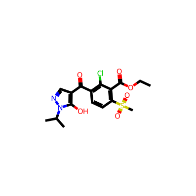 CCOC(=O)c1c(S(C)(=O)=O)ccc(C(=O)c2cnn(C(C)C)c2O)c1Cl